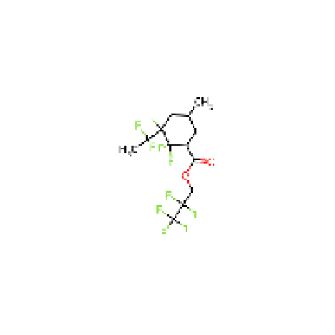 CC1CC(C(=O)OCC(F)(F)C(F)(F)F)C(F)(F)C(F)(C(C)(F)F)C1